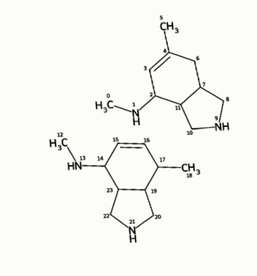 CNC1C=C(C)CC2CNCC21.CNC1C=CC(C)C2CNCC12